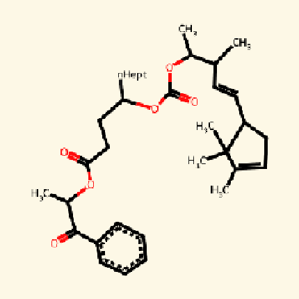 CCCCCCCC(CCC(=O)OC(C)C(=O)c1ccccc1)OC(=O)OC(C)C(C)C=CC1CC=C(C)C1(C)C